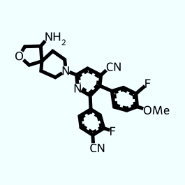 COc1ccc(-c2c(C#N)cc(N3CCC4(CC3)COCC4N)nc2-c2ccc(C#N)c(F)c2)cc1F